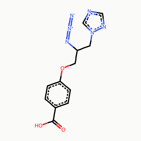 [N-]=[N+]=NC(COc1ccc(C(=O)O)cc1)Cn1cncn1